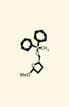 COC1CC[C@H](CO[Si](C)(c2ccccc2)c2ccccc2)O1